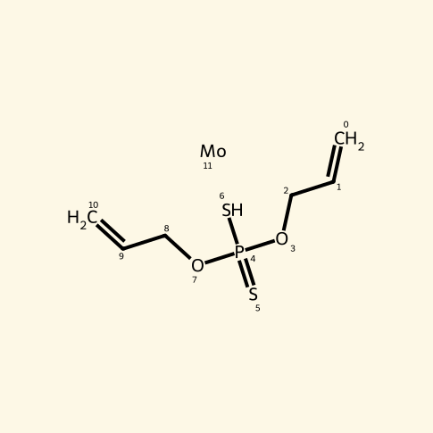 C=CCOP(=S)(S)OCC=C.[Mo]